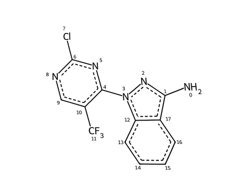 Nc1nn(-c2nc(Cl)ncc2C(F)(F)F)c2ccccc12